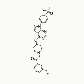 CS(=O)(=O)c1ccc(-n2ncc3c(OC4CCN(CC(=O)c5cccc(CF)c5)CC4)ncnc32)cc1